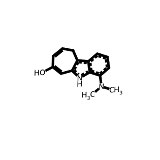 CN(C)c1cccc2c3c([nH]c12)C=C(O)C=CC3